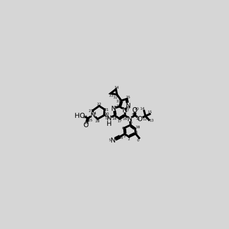 Cc1cc(C#N)cc(N(C(=O)OC(C)(C)C)c2cc(N[C@H]3CCCN(C(=O)O)C3)nc3c(C4CC4)cnn23)c1